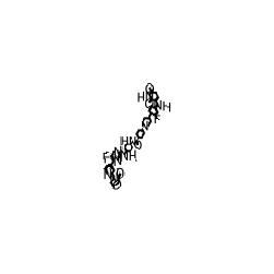 O=C1CCC(Nc2ccc(C3CCN([C@H]4CC[C@H](C(=O)NC5CCC(Nc6ncc(F)c(-c7ccnc(N8CCOCC8=O)c7)n6)CC5)CC4)CC3)c(F)c2)C(=O)N1